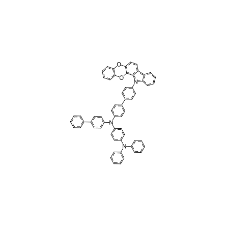 c1ccc(-c2ccc(N(c3ccc(-c4ccc(-n5c6ccccc6c6ccc7c(c65)Oc5ccccc5O7)cc4)cc3)c3ccc(N(c4ccccc4)c4ccccc4)cc3)cc2)cc1